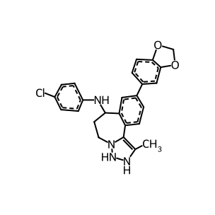 CC1=C2c3ccc(-c4ccc5c(c4)OCO5)cc3C(Nc3ccc(Cl)cc3)CCN2NN1